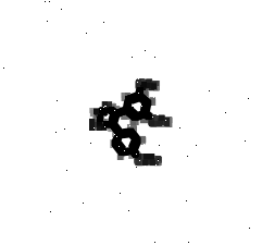 COc1ccc(-c2[nH]nnc2-c2cc(OC(C)=O)cc(OC(C)=O)c2)cc1